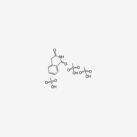 CS(=O)(=O)O.CS(=O)(=O)O.CS(=O)(=O)O.O=C1Cc2ccccc2C(=O)N1